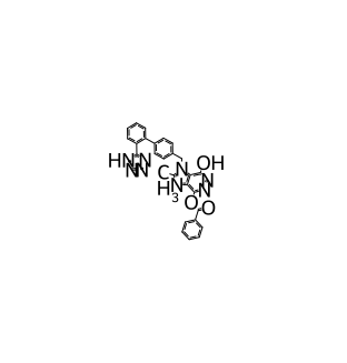 Cc1nc2c(OC(=O)c3ccccc3)nnc(O)c2n1Cc1ccc(-c2ccccc2-c2nnn[nH]2)cc1